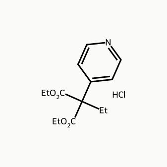 CCOC(=O)C(CC)(C(=O)OCC)c1ccncc1.Cl